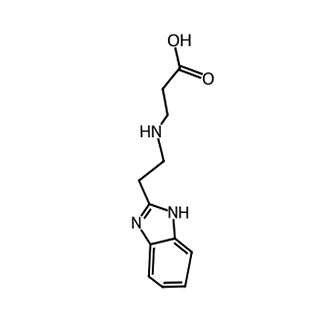 O=C(O)CCNCCc1nc2ccccc2[nH]1